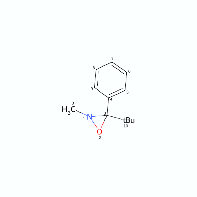 CN1OC1(c1ccccc1)C(C)(C)C